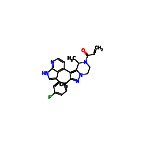 C=CC(=O)N1CCn2nc(-c3ccc(F)cc3)c(-c3ccnc4[nH]cc(C)c34)c2C1C